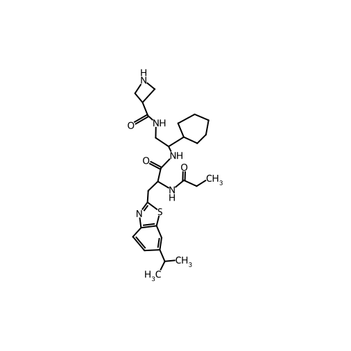 CCC(=O)NC(Cc1nc2ccc(C(C)C)cc2s1)C(=O)NC(CNC(=O)C1CNC1)C1CCCCC1